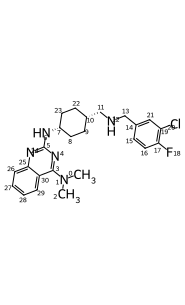 CN(C)c1nc(N[C@H]2CC[C@@H](CNCc3ccc(F)c(Cl)c3)CC2)nc2ccccc12